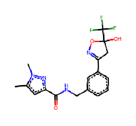 Cc1cc(C(=O)NCc2cccc(C3=NOC(O)(C(F)(F)F)C3)c2)nn1C